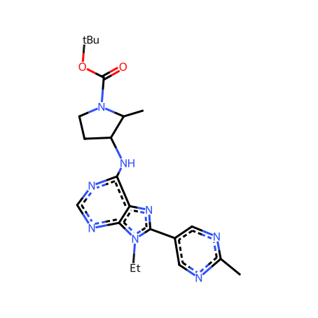 CCn1c(-c2cnc(C)nc2)nc2c(NC3CCN(C(=O)OC(C)(C)C)C3C)ncnc21